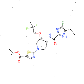 CCOC(=O)c1cnc(N2CC[C@@H](NC(=O)c3nc(Cl)c(CC)[nH]3)[C@@H](OCC(C)(F)F)C2)s1